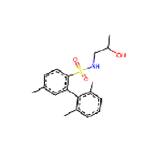 Cc1ccc(S(=O)(=O)NCC(C)O)c(-c2c(C)cccc2C)c1